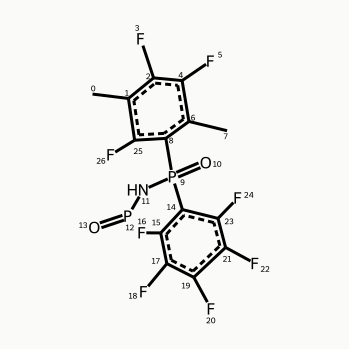 Cc1c(F)c(F)c(C)c(P(=O)(NP=O)c2c(F)c(F)c(F)c(F)c2F)c1F